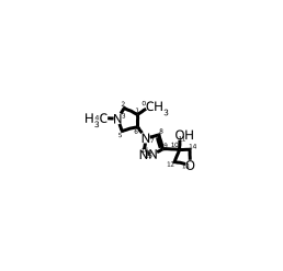 CC1CN(C)CC1n1cc(C2(O)COC2)nn1